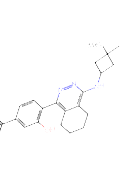 C=C(C)c1ccc(-c2nnc(NC3CC(C)(OC)C3)c3c2CCCC3)c(O)c1